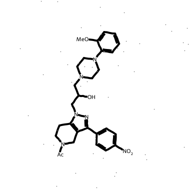 COc1ccccc1N1CCN(CC(O)Cn2nc(-c3ccc([N+](=O)[O-])cc3)c3c2CCN(C(C)=O)C3)CC1